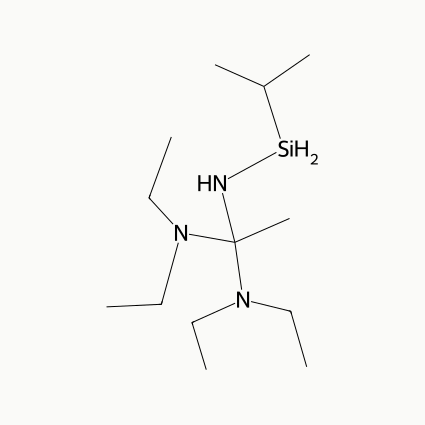 CCN(CC)C(C)(N[SiH2]C(C)C)N(CC)CC